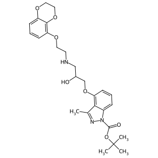 Cc1nn(C(=O)OC(C)(C)C)c2cccc(OCC(O)CNCCOc3cccc4c3OCCO4)c12